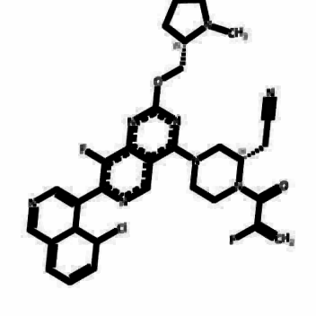 C=C(F)C(=O)N1CCN(c2nc(OC[C@@H]3CCCN3C)nc3c(F)c(C4=CN=CC5=CC=CC(Cl)C54)ncc23)C[C@@H]1CC#N